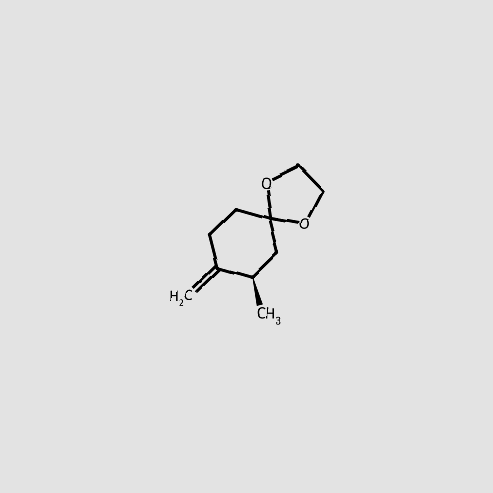 C=C1CCC2(C[C@H]1C)OCCO2